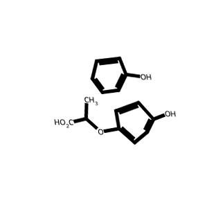 CC(Oc1ccc(O)cc1)C(=O)O.Oc1ccccc1